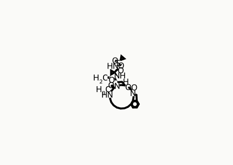 C=C[C@@H]1C[C@]1(NC(=O)[C@@H]1C[C@@H]2CN1C(=O)[C@H](C)NCCCCCCCc1cccc3c1CN(C3)C(=O)O2)C(=O)NS(=O)(=O)C1CC1